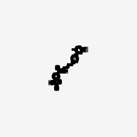 Cc1ccc(Cl)cc1N1CCN(C/C=C/CNC(=O)c2ccc3[nH]c(=O)oc3c2)CC1